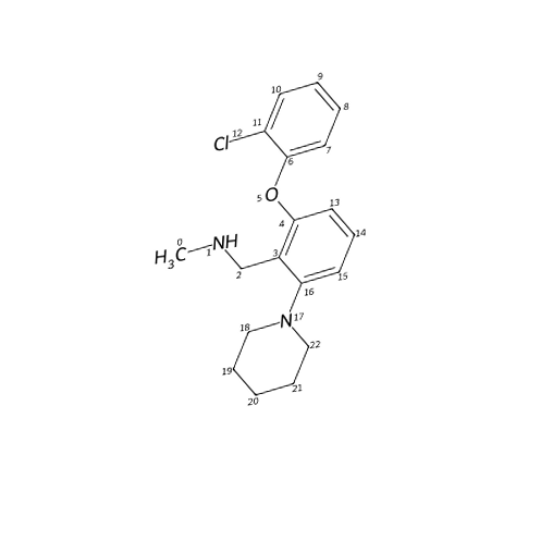 CNCc1c(Oc2ccccc2Cl)cccc1N1CCCCC1